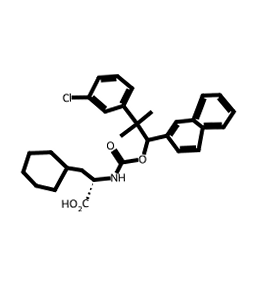 CC(C)(c1cccc(Cl)c1)C(OC(=O)N[C@@H](CC1CCCCC1)C(=O)O)c1ccc2ccccc2c1